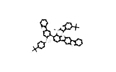 CB1c2sc3ccc(C(C)(C)C)cc3c2-n2c3cc4c(cc3c3ccc(-c5cc6c(cc5Nc5ccc(C(C)(C)C)cc5)oc5ccccc56)c1c32)sc1ccccc14